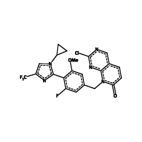 COc1cc(Cn2c(=O)ccc3cnc(Cl)nc32)cc(F)c1-c1nc(C(F)(F)F)cn1C1CC1